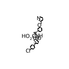 O=C(O)C1(NS(=O)(=O)c2ccc(-c3ccc(Cl)cc3)s2)C[C@H]1c1cccc(OCc2cccnc2)c1